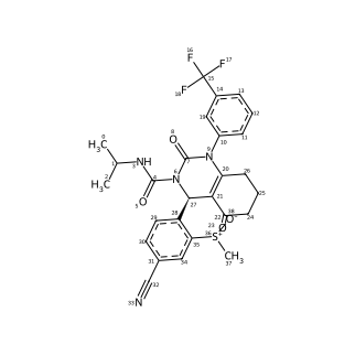 CC(C)NC(=O)N1C(=O)N(c2cccc(C(F)(F)F)c2)C2=C(C(=O)CCC2)[C@H]1c1ccc(C#N)cc1[S+](C)[O-]